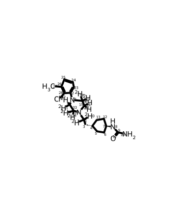 [2H]C([2H])(C[C@H]1CC[C@H](NC(N)=O)CC1)N1C([2H])([2H])C([2H])([2H])N(c2cccc(C)c2Cl)C([2H])([2H])C1([2H])[2H]